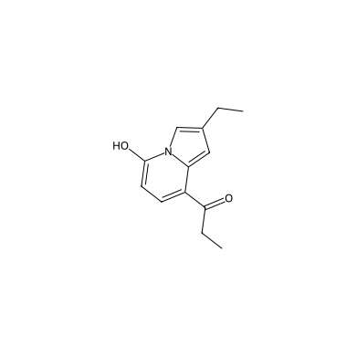 CCC(=O)c1ccc(O)n2cc(CC)cc12